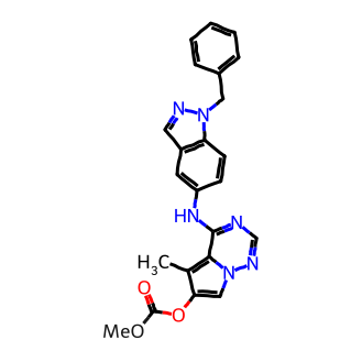 COC(=O)Oc1cn2ncnc(Nc3ccc4c(cnn4Cc4ccccc4)c3)c2c1C